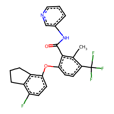 Cc1c(C(F)(F)F)ccc(Oc2ccc(F)c3c2CCC3)c1C(=O)Nc1cccnc1